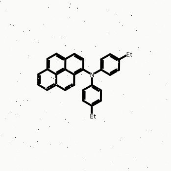 CCc1ccc(N(c2ccc(CC)cc2)c2ccc3ccc4cccc5ccc2c3c45)cc1